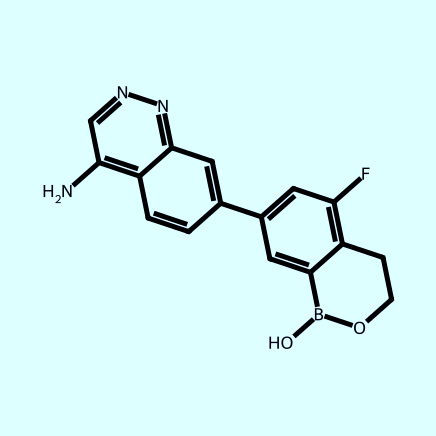 Nc1cnnc2cc(-c3cc(F)c4c(c3)B(O)OCC4)ccc12